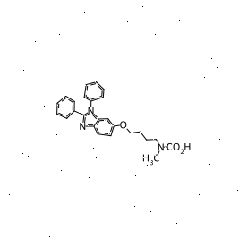 CN(CCCCOc1ccc2nc(-c3ccccc3)n(-c3ccccc3)c2c1)C(=O)O